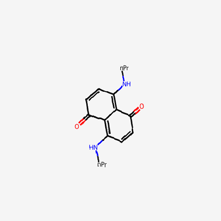 CCCNC1=C2C(=O)C=CC(NCCC)=C2C(=O)C=C1